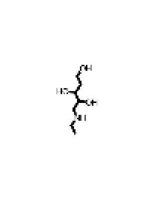 CCNCC(O)C(O)CCO